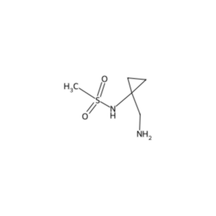 CS(=O)(=O)NC1(CN)CC1